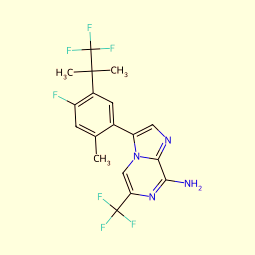 Cc1cc(F)c(C(C)(C)C(F)(F)F)cc1-c1cnc2c(N)nc(C(F)(F)F)cn12